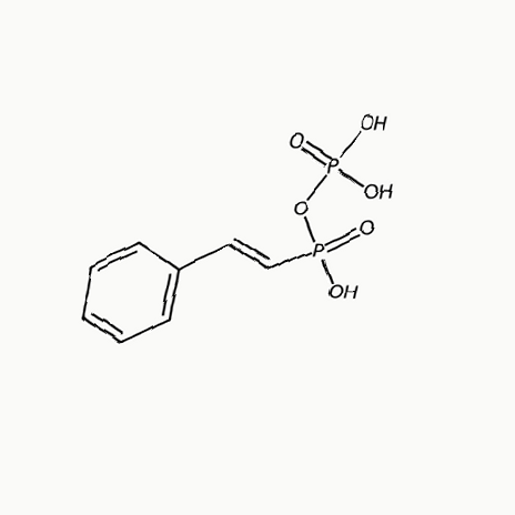 O=P(O)(O)OP(=O)(O)C=Cc1ccccc1